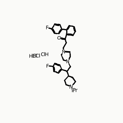 CC(C)N1CCC(C(CN2CCN(CCC(=O)c3ccccc3-c3ccc(F)cc3)CC2)c2ccc(F)cc2)CC1.Cl.Cl.Cl